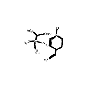 C=CC1CCN(CC)CC1.C[N+](C)(C)C(C(=O)[O-])C(=O)O